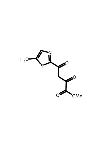 COC(=O)C(=O)CC(=O)c1ncc(C)s1